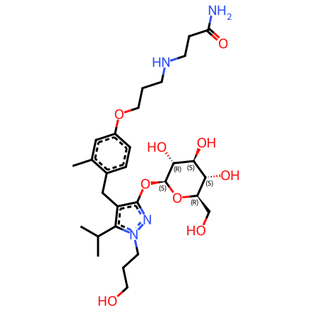 Cc1cc(OCCCNCCC(N)=O)ccc1Cc1c(O[C@@H]2O[C@H](CO)[C@@H](O)[C@H](O)[C@H]2O)nn(CCCO)c1C(C)C